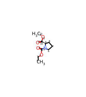 CCOC(=O)N1CCC[C@@H]1C(=O)OC